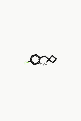 CC1(Cc2ccc(F)cc2)CCC1